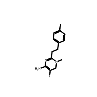 Cc1ccc(CCC2=NC(N)=C(F)CN2C)cc1